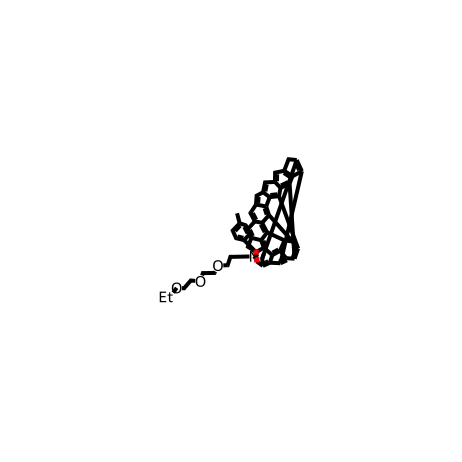 CCOCCOCCOCCN1CC2C3=c4c5c6c7c(cc8cc9cc%10cc%11cc%12c%13c(c4c4c5c5c7c8c7c9c%10c8c%11c%13c4c8c75)=C(C3)C%12)CC62C1c1ccc(C)cc1